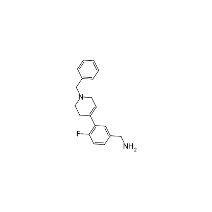 NCc1ccc(F)c(C2=CCN(Cc3ccccc3)CC2)c1